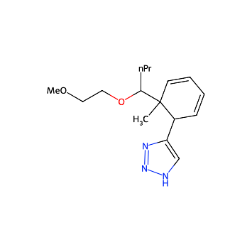 CCCC(OCCOC)C1(C)C=CC=CC1c1c[nH]nn1